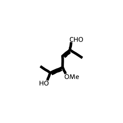 COC(/C=C(\C)C=O)=C(/C)O